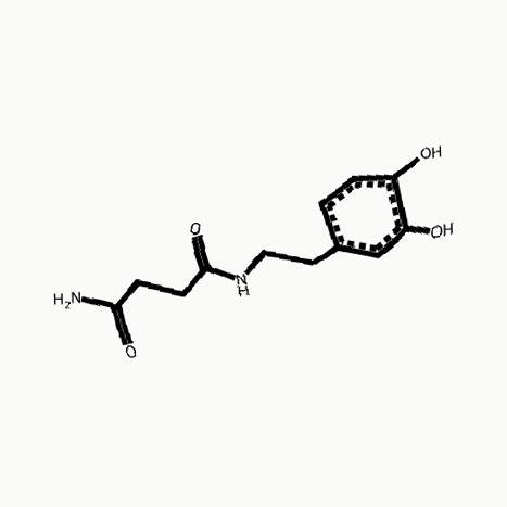 NC(=O)CCC(=O)NCCc1ccc(O)c(O)c1